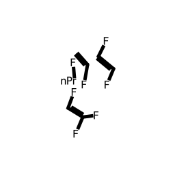 C=CF.CCCF.FC=C(F)F.FC=CF